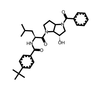 CC(C)C[C@H](NC(=O)c1ccc(C(C)(C)C)cc1)C(=O)N1CCC2C1[C@@H](O)CN2C(=O)c1ccccc1